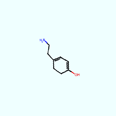 NCCC1=CC=C(O)CC1